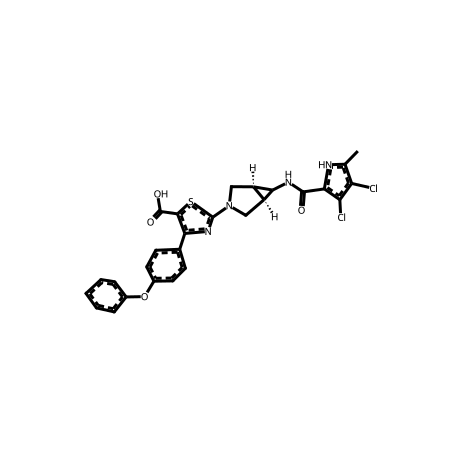 Cc1[nH]c(C(=O)NC2[C@H]3CN(c4nc(-c5ccc(Oc6ccccc6)cc5)c(C(=O)O)s4)C[C@@H]23)c(Cl)c1Cl